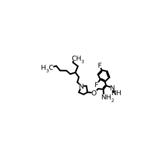 CCCCCC(CCC)CCN1CCC(OC/C(N)=C(/N=N)c2ccc(F)cc2F)C1